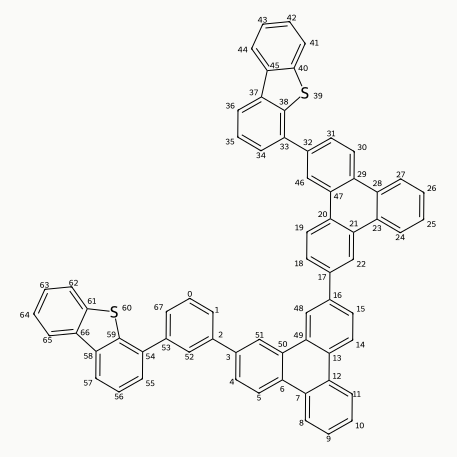 c1cc(-c2ccc3c4ccccc4c4ccc(-c5ccc6c(c5)c5ccccc5c5ccc(-c7cccc8c7sc7ccccc78)cc56)cc4c3c2)cc(-c2cccc3c2sc2ccccc23)c1